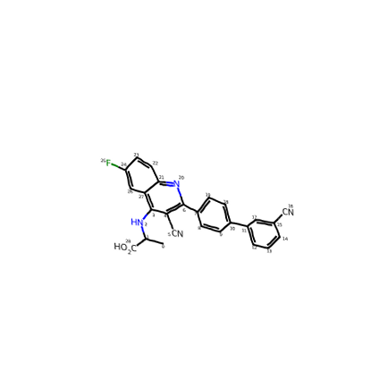 CC(Nc1c(C#N)c(-c2ccc(-c3cccc(C#N)c3)cc2)nc2ccc(F)cc12)C(=O)O